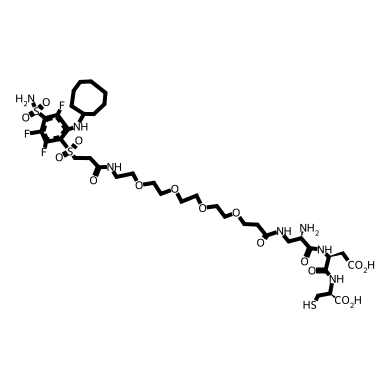 N[C@@H](CNC(=O)CCOCCOCCOCCOCCNC(=O)CCS(=O)(=O)c1c(F)c(F)c(S(N)(=O)=O)c(F)c1NC1CCCCCCC1)C(=O)N[C@@H](CC(=O)O)C(=O)N[C@@H](CS)C(=O)O